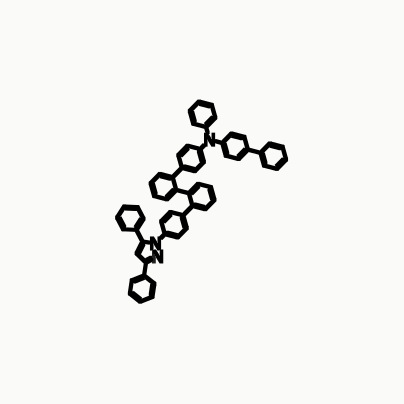 c1ccc(-c2ccc(N(c3ccccc3)c3ccc(-c4ccccc4-c4ccccc4-c4ccc(-n5nc(-c6ccccc6)cc5-c5ccccc5)cc4)cc3)cc2)cc1